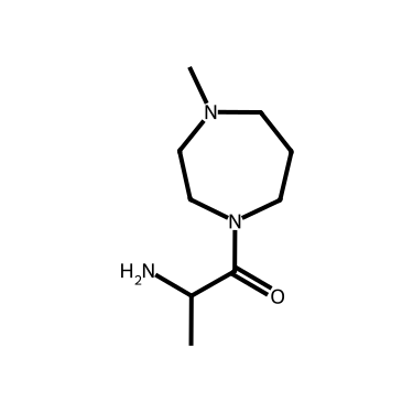 CC(N)C(=O)N1CCCN(C)CC1